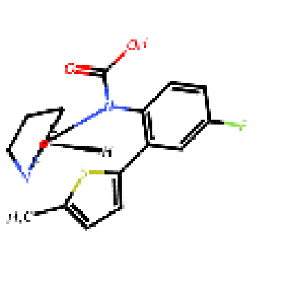 Cc1ccc(-c2cc(F)ccc2N(C(=O)O)[C@H]2CN3CCC2CC3)s1